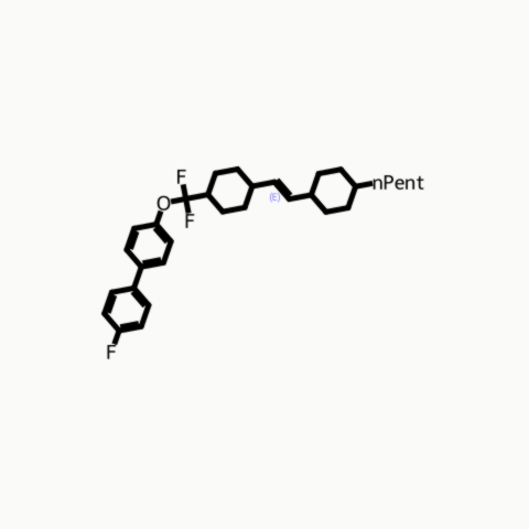 CCCCCC1CCC(/C=C/C2CCC(C(F)(F)Oc3ccc(-c4ccc(F)cc4)cc3)CC2)CC1